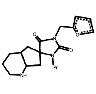 CC(C)N1C(=O)N(Cc2ccco2)C(=O)C12CC1CCCNC1C2